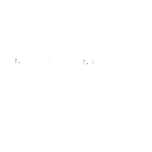 O=C(NCc1ccccc1)S1(Cc2ccccc2)C=NC=C1I